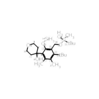 Cc1c(C)c(C2(O)CCOCC2)c(O[SiH3])c(CO[Si](C)(C)C(C)(C)C)c1C(C)(C)C